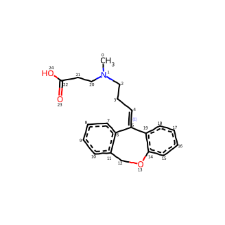 CN(CC/C=C1\c2ccccc2COc2ccccc21)CCC(=O)O